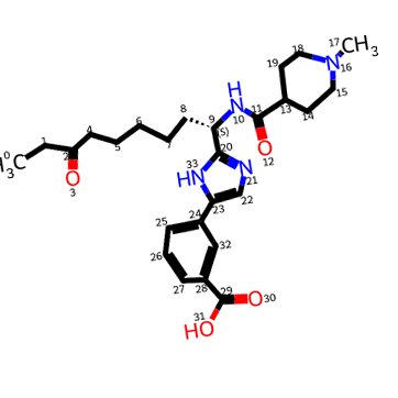 CCC(=O)CCCCC[C@H](NC(=O)C1CCN(C)CC1)c1ncc(-c2cccc(C(=O)O)c2)[nH]1